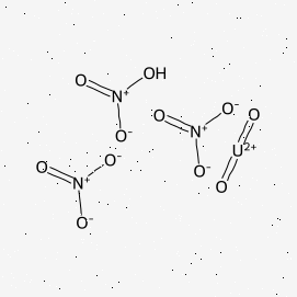 O=[N+]([O-])O.O=[N+]([O-])[O-].O=[N+]([O-])[O-].[O]=[U+2]=[O]